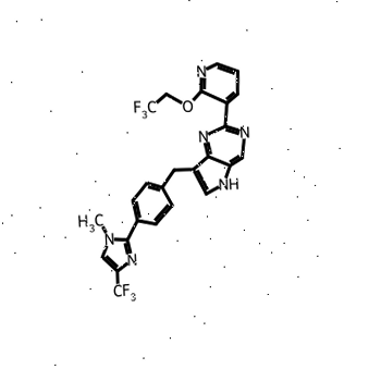 Cn1cc(C(F)(F)F)nc1-c1ccc(Cc2c[nH]c3cnc(-c4cccnc4OCC(F)(F)F)nc23)cc1